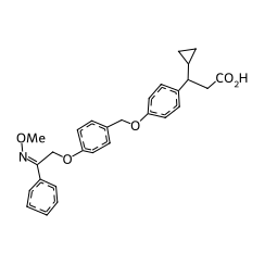 CO/N=C(\COc1ccc(COc2ccc(C(CC(=O)O)C3CC3)cc2)cc1)c1ccccc1